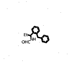 CCC(N[C]=O)c1ccccc1Cc1ccccc1